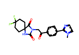 Cn1ccnc1-c1ccc(C(=O)CN2C(=O)NC3(CCC(F)(F)CC3)C2=O)cc1